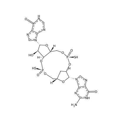 Nc1nc2c(ncn2[C@@H]2O[C@@H]3CO[P@@](=O)(S)O[C@H]4[C@@H](O)[C@H](n5cnc6c(=O)[nH]cnc65)O[C@@H]4CO[P@@](=O)(S)O[C@@H]2C3)c(=O)[nH]1